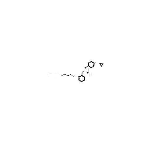 [2H]C([2H])([2H])N(Cc1ccccc1OCCCCCC(=O)O)C(=O)c1ccc(OC2CC2)cc1